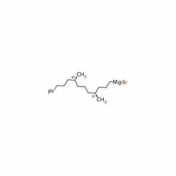 CC(C)CCC[C@@H](C)CCC[C@H](C)CC[CH2][Mg][Br]